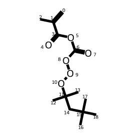 C=C(C)C(=O)OC(=O)OOOC(C)(C)CC(C)(C)C